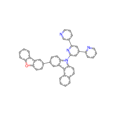 c1ccc(-c2cc(-c3cccnc3)nc(-n3c4ccc(-c5ccc6oc7ccccc7c6c5)cc4c4c5ccccc5ccc43)c2)nc1